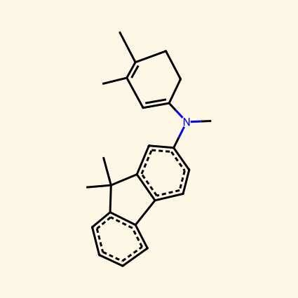 CC1=C(C)CCC(N(C)c2ccc3c(c2)C(C)(C)c2ccccc2-3)=C1